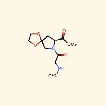 COC(=O)[C@@H]1CC2(CN1C(=O)CNC=O)OCCO2